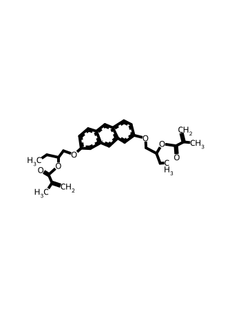 C=C(C)C(=O)OC(CC)COc1ccc2cc3ccc(OCC(CC)OC(=O)C(=C)C)cc3cc2c1